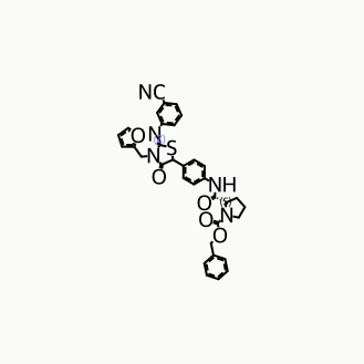 N#Cc1cccc(/N=C2\SC(c3ccc(NC(=O)[C@@H]4CCCN4C(=O)OCc4ccccc4)cc3)C(=O)N2Cc2ccco2)c1